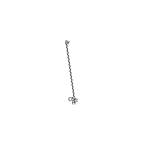 Cl[SiH](Cl)CCCCCCCCCCCCCCCCCCCCCCCCCCCCCCCCBr